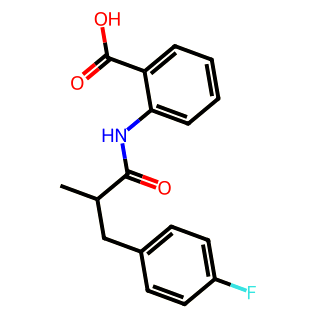 CC(Cc1ccc(F)cc1)C(=O)Nc1ccccc1C(=O)O